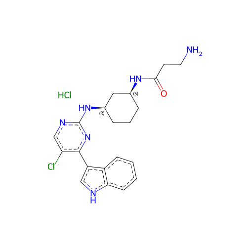 Cl.NCCC(=O)N[C@H]1CCC[C@@H](Nc2ncc(Cl)c(-c3c[nH]c4ccccc34)n2)C1